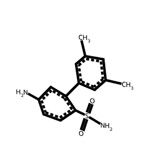 Cc1cc(C)cc(-c2cc(N)ccc2S(N)(=O)=O)c1